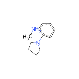 CN.c1ccc(N2CCCC2)cc1